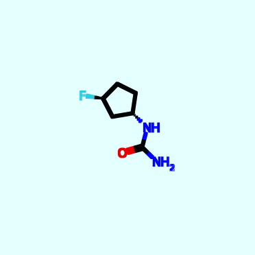 NC(=O)N[C@H]1CC[C@H](F)C1